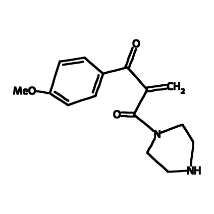 C=C(C(=O)c1ccc(OC)cc1)C(=O)N1CCNCC1